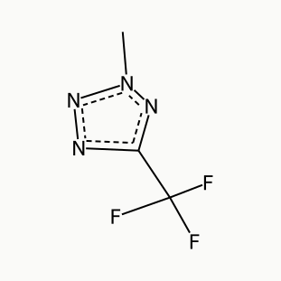 Cn1nnc(C(F)(F)F)n1